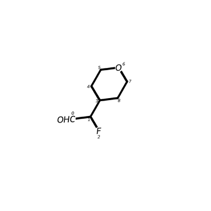 O=CC(F)C1CCOCC1